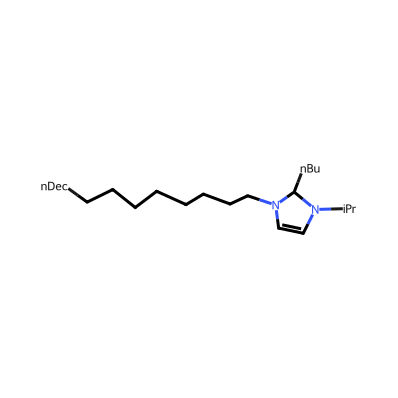 CCCCCCCCCCCCCCCCCCN1C=CN(C(C)C)C1CCCC